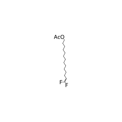 CC(=O)OCCCCCCCCCCCCC=C(F)F